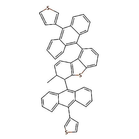 CC1C=Cc2c(sc3cccc(-c4c5ccccc5c(-c5ccsc5)c5ccccc45)c23)C1c1c2ccccc2c(-c2ccsc2)c2ccccc12